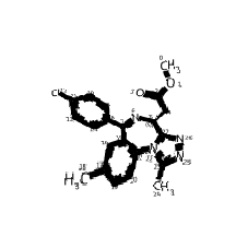 COC(=O)C[C@@H]1N=C(c2ccc(Cl)cc2)c2cc(C)ccc2-n2c(C)nnc21